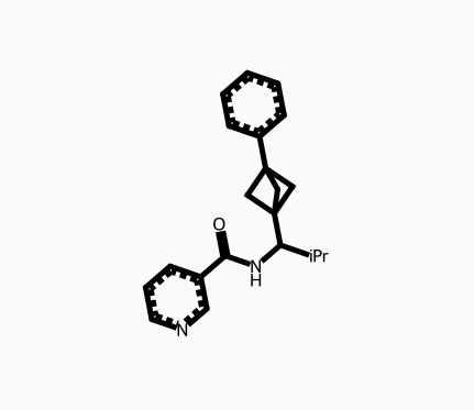 CC(C)C(NC(=O)c1cccnc1)C12CC(c3ccccc3)(C1)C2